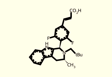 C[C@@H]1Cc2c([nH]c3ccccc23)[C@@H](c2c(F)cc(/C=C/C(=O)O)cc2F)N1CC(C)(C)C